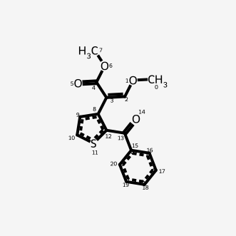 COC=C(C(=O)OC)c1ccsc1C(=O)c1ccccc1